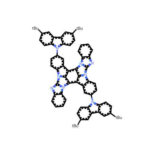 CC(C)(C)c1ccc2c(c1)c1cc(C(C)(C)C)ccc1n2-c1ccc2c(c1)c1c3c4c(c5cc(-n6c7ccc(C(C)(C)C)cc7c7cc(C(C)(C)C)ccc76)ccc5n4c4nc5ccccc5n34)c3c1n2c1nc2ccccc2n31